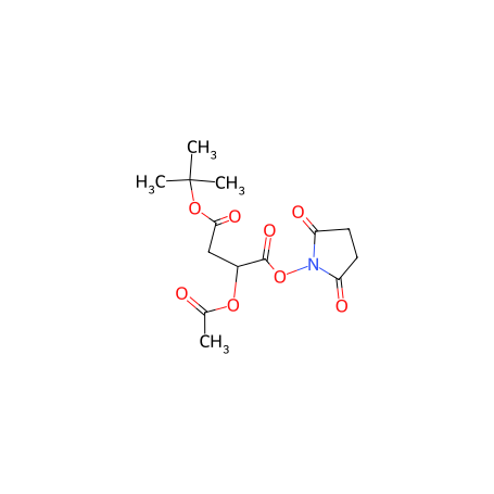 CC(=O)OC(CC(=O)OC(C)(C)C)C(=O)ON1C(=O)CCC1=O